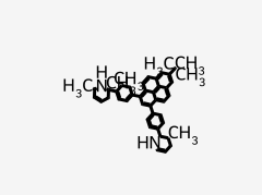 CC1C=CCC(C)(C2=CC=C(c3cc(C4=C=C=C(C5NC=CCC5C)C=C4)c4ccc5cc(C(C)(C)C)cc6ccc3c4c56)CC2C)N1